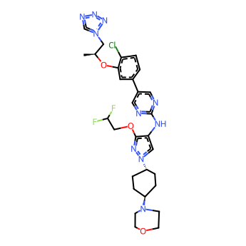 C[C@@H](Cn1cnnn1)Oc1cc(-c2cnc(Nc3cn([C@H]4CC[C@H](N5CCOCC5)CC4)nc3OCC(F)F)nc2)ccc1Cl